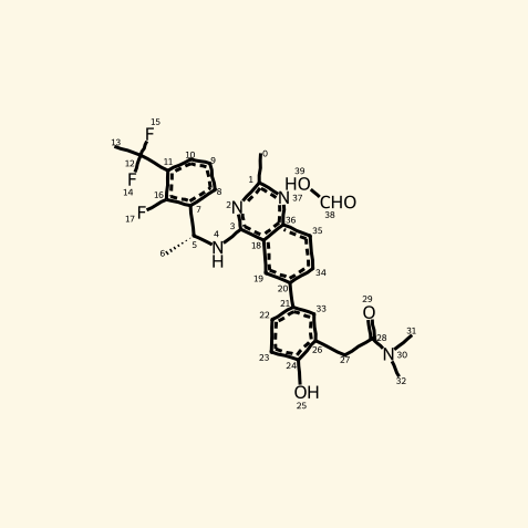 Cc1nc(N[C@H](C)c2cccc(C(C)(F)F)c2F)c2cc(-c3ccc(O)c(CC(=O)N(C)C)c3)ccc2n1.O=CO